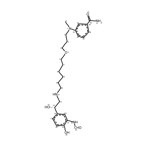 CN(CCCOCCCCCCNC[C@@H](O)c1ccc(O)c(NC=O)c1)c1cccc(C(N)=O)c1